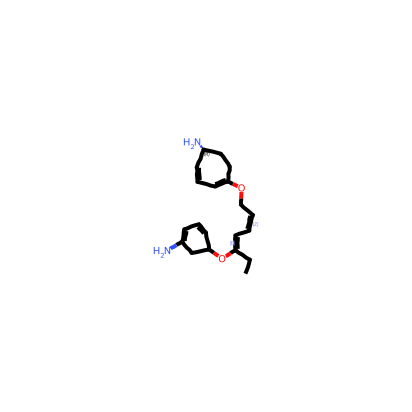 CC/C(=C\C=C/COC1=CC=C[C@H](N)CC1)OC1C=CC=C(N)C1